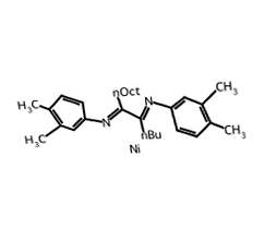 CCCCCCCCC(=N\c1ccc(C)c(C)c1)/C(CCCC)=N/c1ccc(C)c(C)c1.[Ni]